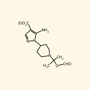 CCOC(=O)c1cnn(C2CCN(C(C)(C)OC=O)CC2)c1N